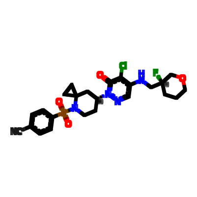 N#Cc1ccc(S(=O)(=O)N2CC[C@@H](n3ncc(NC[C@@]4(F)CCCOC4)c(Cl)c3=O)CC23CC3)cc1